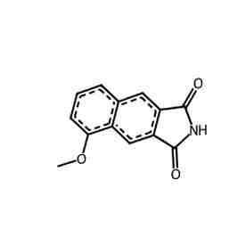 COc1cccc2cc3c(cc12)C(=O)NC3=O